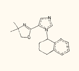 CC1(C)COC(c2cncn2C2CCCc3ccccc32)=N1